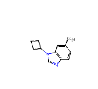 O=C(O)c1ccc2ncn(C3CCC3)c2c1